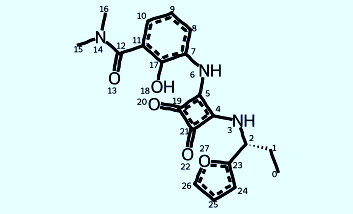 CC[C@@H](Nc1c(Nc2cccc(C(=O)N(C)C)c2O)c(=O)c1=O)c1ccco1